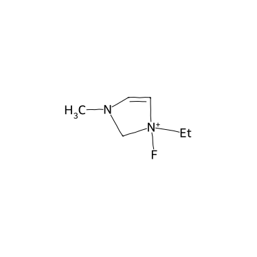 CC[N+]1(F)C=CN(C)C1